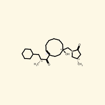 C[C@H]1CC(=O)N(C[C@@]2(O)CCCCC/C=C(/C(=O)[C@H](C)CC3CCCCC3)CC2)C1